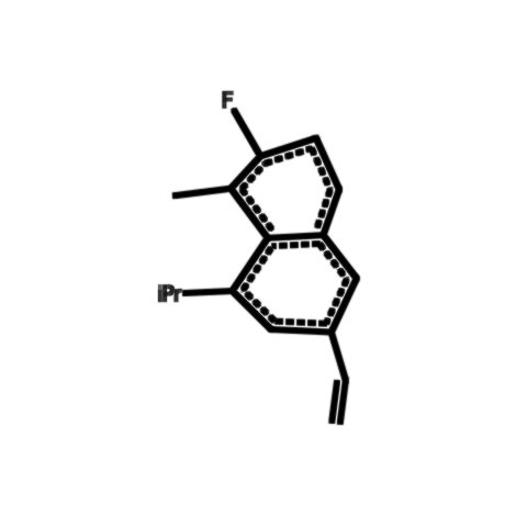 C=Cc1cc(C(C)C)c2c(C)c(F)ccc2c1